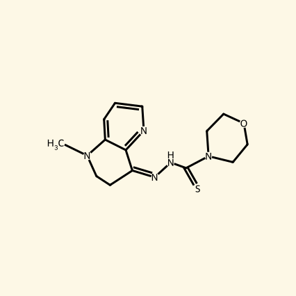 CN1CC/C(=N/NC(=S)N2CCOCC2)c2ncccc21